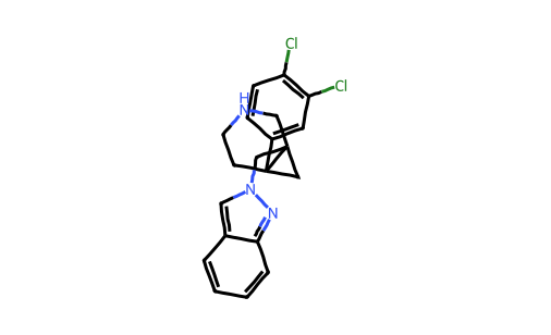 Clc1ccc(C23CCNCC2(Cn2cc4ccccc4n2)C3)cc1Cl